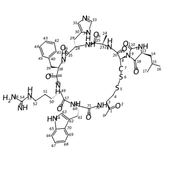 CC(=O)[C@@H]1CSSC[C@H](N2C(=O)N[C@@H](CC(C)C)C2=O)C(=O)N[C@H](C)C(=O)N[C@@H](Cc2cnc[nH]2)C(=O)N[C@H](Cc2ccccc2)C(=O)N[C@@H](CCCNC(=N)N)C(=O)N[C@@H](Cc2c[nH]c3ccccc23)C(=O)N1